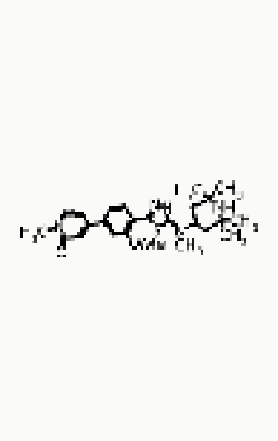 COc1cc(-c2ccn(C)c(=O)c2)ccc1-c1nnc(N(C)C2CC(C)(C)NC(C)(C)C2)s1